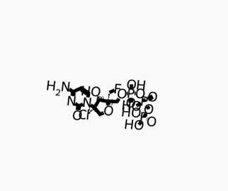 Nc1ccn([C@]2(Cl)CO[C@](CF)(COP(=O)(O)OP(=O)(O)OP(=O)(O)O)[C@H]2O)c(=O)n1